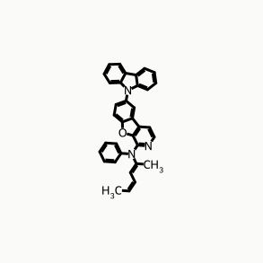 C/C=C\C=C(/C)N(c1ccccc1)c1nccc2c1oc1ccc(-n3c4ccccc4c4ccccc43)cc12